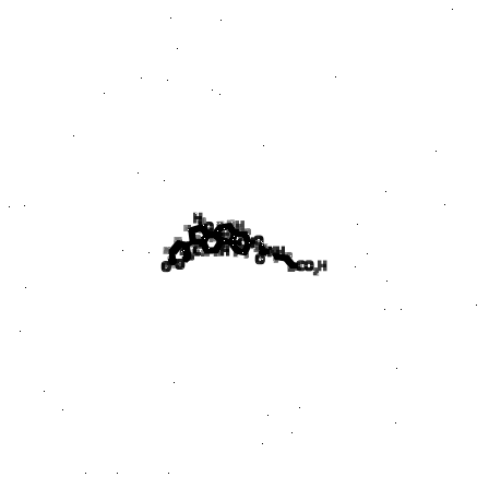 C[C@]12CC[C@H](OC(=O)NCCCC(=O)O)C[C@H]1CC[C@@H]1[C@@H]2CC[C@]2(C)[C@@H](c3ccc(=O)oc3)C[C@H]3O[C@]132